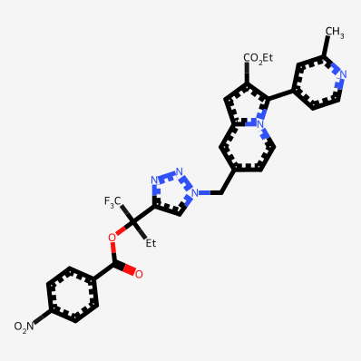 CCOC(=O)c1cc2cc(Cn3cc(C(CC)(OC(=O)c4ccc([N+](=O)[O-])cc4)C(F)(F)F)nn3)ccn2c1-c1ccnc(C)c1